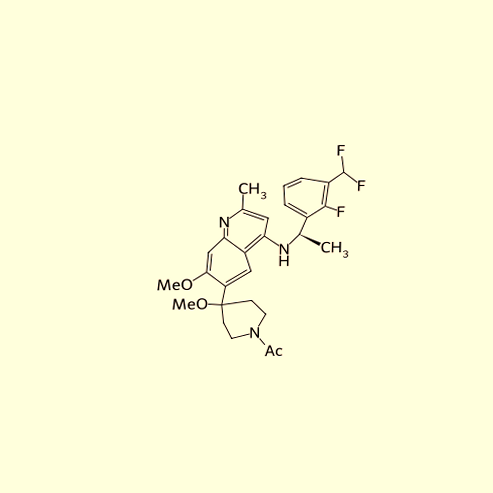 COc1cc2nc(C)cc(N[C@H](C)c3cccc(C(F)F)c3F)c2cc1C1(OC)CCN(C(C)=O)CC1